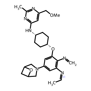 C=Nc1c(/N=C\C)cc(N2CC3CC(C2)O3)cc1O[C@H]1CC[C@@H](Nc2cc(COC)nc(C)n2)CC1